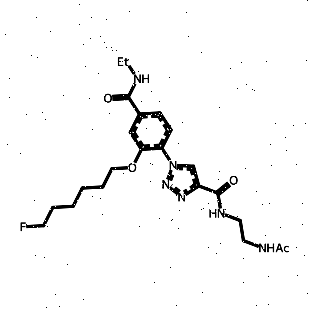 CCNC(=O)c1ccc(-n2cc(C(=O)NCCNC(C)=O)nn2)c(OCCCCCCF)c1